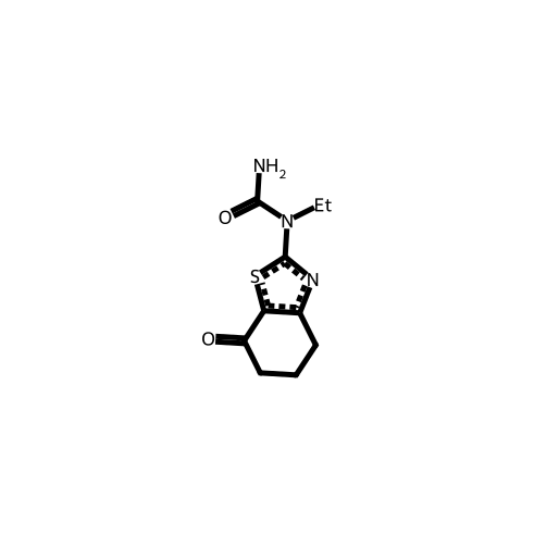 CCN(C(N)=O)c1nc2c(s1)C(=O)CCC2